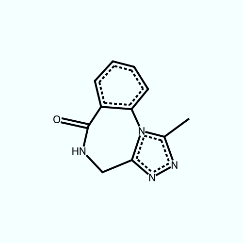 Cc1nnc2n1-c1ccccc1C(=O)NC2